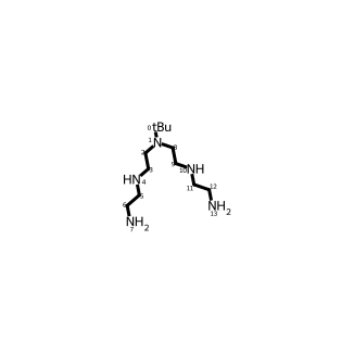 CC(C)(C)N(CCNCCN)CCNCCN